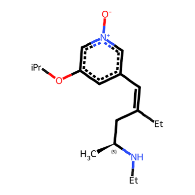 CCN[C@@H](C)CC(=Cc1cc(OC(C)C)c[n+]([O-])c1)CC